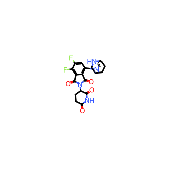 O=C1CCC(N2C(=O)c3c(N4CC5CCC4CN5)cc(F)c(F)c3C2=O)C(=O)N1